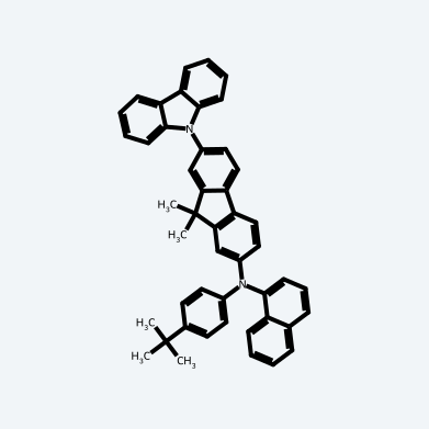 CC(C)(C)c1ccc(N(c2ccc3c(c2)C(C)(C)c2cc(-n4c5ccccc5c5ccccc54)ccc2-3)c2cccc3ccccc23)cc1